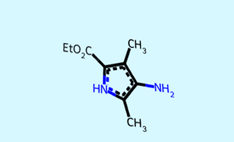 CCOC(=O)c1[nH]c(C)c(N)c1C